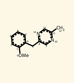 COc1ccccc1Cc1cnc(C)cn1